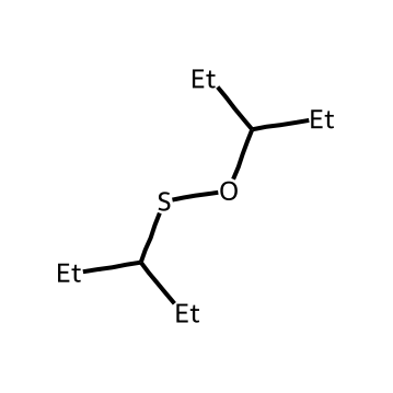 CCC(CC)OSC(CC)CC